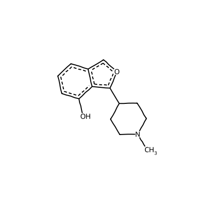 CN1CCC(c2occ3cccc(O)c23)CC1